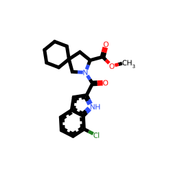 COC(=O)C1CC2(CCCCC2)CN1C(=O)c1cc2cccc(Cl)c2[nH]1